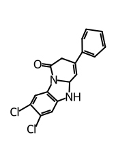 O=C1CC(c2ccccc2)=CC2Nc3cc(Cl)c(Cl)cc3N12